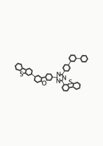 c1ccc(-c2cccc(-c3ccc(-c4nc(-c5ccc6c(c5)oc5ccc(-c7ccc8c(c7)sc7ccccc78)cc56)nc(-c5cccc6c5sc5ccccc56)n4)cc3)c2)cc1